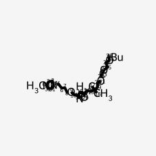 CN1CCN(CCCCOCc2cc(CCC(C)(C)CCOCCOCCOC(C)(C)C)on2)CC1